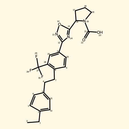 CCc1ccc(CCc2ccc(-c3noc(C4CCCN4C(=O)O)n3)cc2C(F)(F)F)cc1